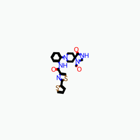 O=CN1CNC(=O)C12CCN(c1ccccc1NC(=O)c1csc(-c3cccs3)n1)CC2